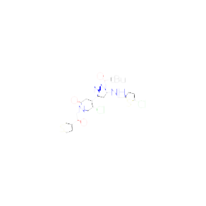 CC(C)(C)C(=O)n1nc(-c2cc(=O)n(CC(=O)c3ccsc3)cc2Cl)cc1NCc1ccc(Cl)s1